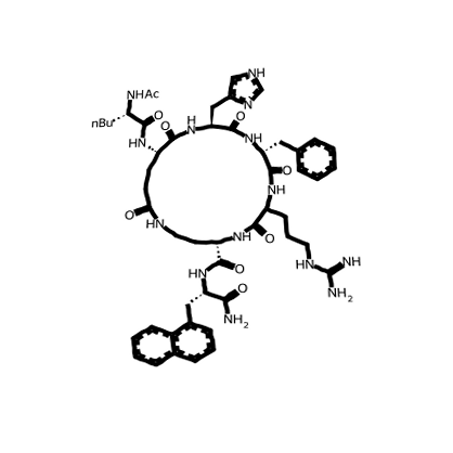 CCCC[C@H](NC(C)=O)C(=O)N[C@H]1CCC(=O)NCC[C@@H](C(=O)N[C@@H](Cc2cccc3ccccc23)C(N)=O)NC(=O)C(CCCNC(=N)N)NC(=O)[C@@H](Cc2ccccc2)NC(=O)[C@H](Cc2c[nH]cn2)NC1=O